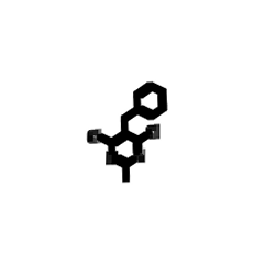 Cc1nc(Cl)c(Cc2ccccc2)c(Cl)n1